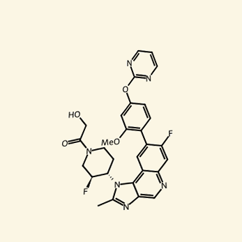 COc1cc(Oc2ncccn2)ccc1-c1cc2c(cc1F)ncc1nc(C)n([C@H]3CCN(C(=O)CO)C[C@@H]3F)c12